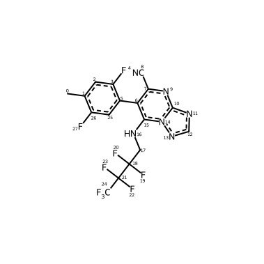 Cc1cc(F)c(-c2c(C#N)nc3ncnn3c2NCC(F)(F)C(F)(F)C(F)(F)F)cc1F